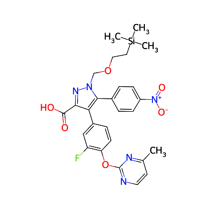 Cc1ccnc(Oc2ccc(-c3c(C(=O)O)nn(COCC[Si](C)(C)C)c3-c3ccc([N+](=O)[O-])cc3)cc2F)n1